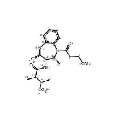 COCCC(=O)N1c2ccccc2NC(=O)[C@@H](NC(=O)[C@H](C)N(C)C(=O)O)[C@@H]1C